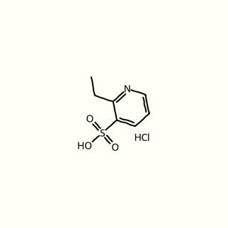 CCc1ncccc1S(=O)(=O)O.Cl